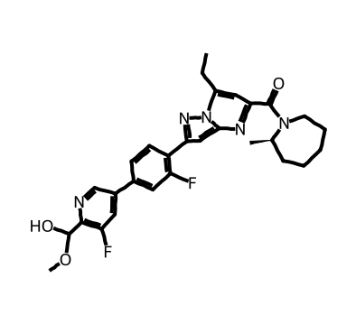 CCc1cc(C(=O)N2CCCCC[C@H]2C)nc2cc(-c3ccc(-c4cnc(C(O)OC)c(F)c4)cc3F)nn12